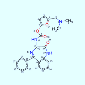 CN(C)Cc1ccc(OC(=O)N[C@H]2N=C(c3ccccc3)c3ccccc3NC2=O)o1